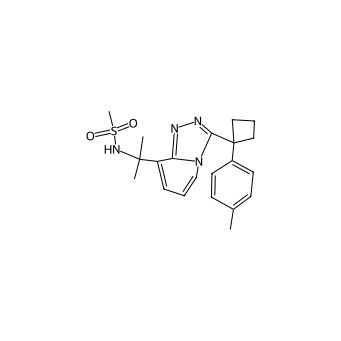 Cc1ccc(C2(c3nnc4c(C(C)(C)NS(C)(=O)=O)cccn34)CCC2)cc1